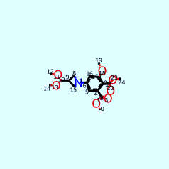 COC(=O)c1cc(N2CC(C(OC)OC)C2)cc(OC)c1C(=O)OC